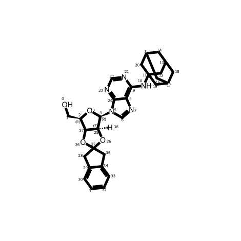 OC[C@H]1O[C@@H](n2cnc3c(NC45CC6CC(CC(C6)C4)C5)ncnc32)[C@H]2OC3(Cc4ccccc4C3)OC12